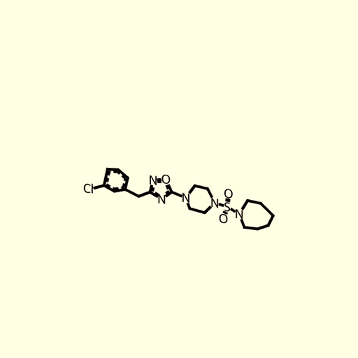 O=S(=O)(N1CCCCCC1)N1CCN(c2nc(Cc3cccc(Cl)c3)no2)CC1